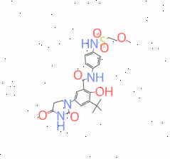 COCCS(=O)(=O)Nc1ccc(NC(=O)c2cc(N3CCC(=O)NC3=O)cc(C(C)(C)C)c2O)cc1